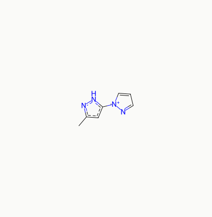 Cc1cc([N+]2C=CC=N2)[nH]n1